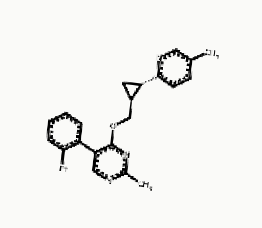 CCc1ccccc1-c1cnc(C)nc1OC[C@H]1C[C@@H]1c1ccc(C)cn1